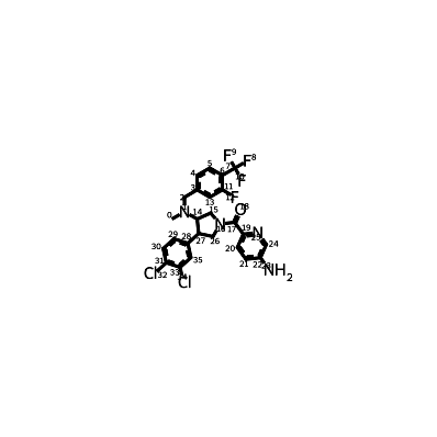 CN(Cc1ccc(C(F)(F)F)c(F)c1)C1CN(C(=O)c2ccc(N)cn2)CC1c1ccc(Cl)c(Cl)c1